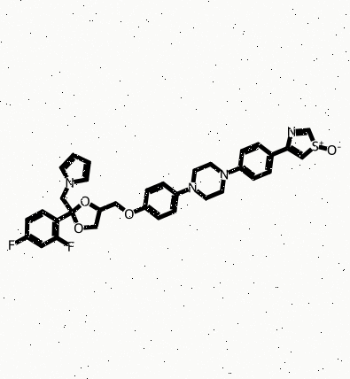 [O-][s+]1cnc(-c2ccc(N3CCN(c4ccc(OCC5COC(Cn6cccc6)(c6ccc(F)cc6F)O5)cc4)CC3)cc2)c1